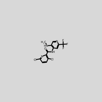 CNc1cnc(C(F)(F)F)cc1NC(=O)c1nc(Cl)ccc1Cl